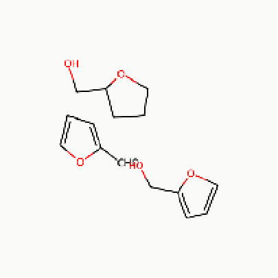 O=Cc1ccco1.OCC1CCCO1.OCc1ccco1